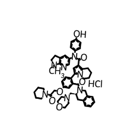 CN1CCc2cc(N(C(=O)c3cc(-c4ccc(OCC(=O)N5CCCCC5)cc4C(=O)N4Cc5ccccc5C[C@H]4CN4CCOCC4)n4c3CCCC4)c3ccc(O)cc3)cnc21.Cl